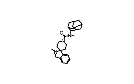 CN1Cc2ccccc2C12CCN(C(=O)NC1C3CC4CC(C3)CC1C4)CC2